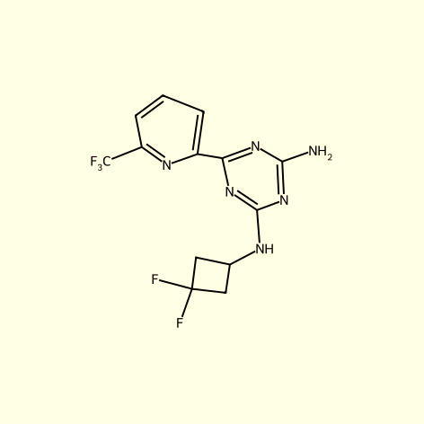 Nc1nc(NC2CC(F)(F)C2)nc(-c2cccc(C(F)(F)F)n2)n1